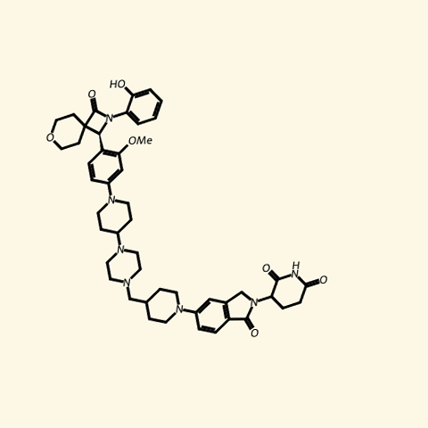 COc1cc(N2CCC(N3CCN(CC4CCN(c5ccc6c(c5)CN(C5CCC(=O)NC5=O)C6=O)CC4)CC3)CC2)ccc1[C@@H]1N(c2ccccc2O)C(=O)C12CCOCC2